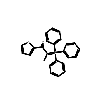 CC(C(=O)c1cccs1)=P(c1ccccc1)(c1ccccc1)c1ccccc1